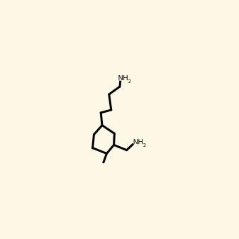 CC1CCC(CCCCN)CC1CN